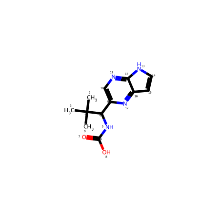 CC(C)(C)C(NC(=O)O)c1cnc2[nH]ccc2n1